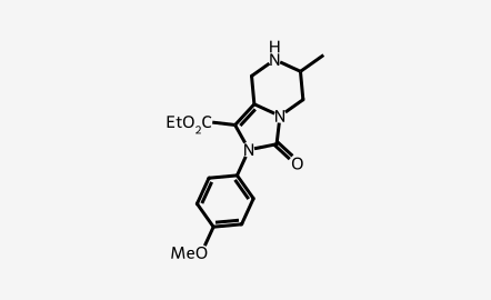 CCOC(=O)c1c2n(c(=O)n1-c1ccc(OC)cc1)CC(C)NC2